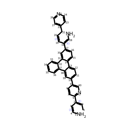 C/C=C(\C=C/N)c1ccc(-c2ccc3c4ccc(C(/C=C\Cc5ccncc5)=C/N)cc4c4ccccc4c3c2)cn1